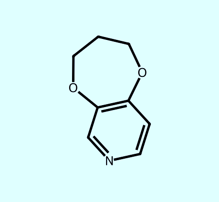 c1cc2c(cn1)OCCCO2